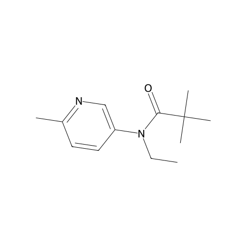 CCN(C(=O)C(C)(C)C)c1ccc(C)nc1